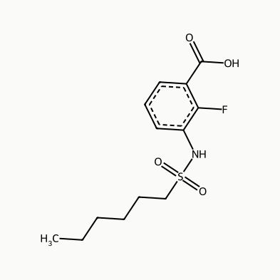 CCCCCCS(=O)(=O)Nc1cccc(C(=O)O)c1F